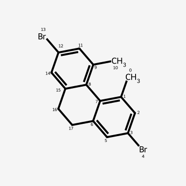 Cc1cc(Br)cc2c1-c1c(C)cc(Br)cc1CC2